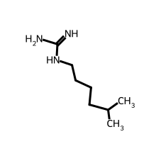 CC(C)CCCCNC(=N)N